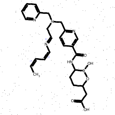 C\C=C/C=C\N=C\CN(Cc1ccccn1)Cc1ccc(C(=O)NC2CCC(CC(=O)O)OB2O)cn1